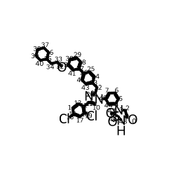 O=C1CN(c2cccc(-n3cc(-c4ccc(Cl)cc4Cl)nc3Cc3ccc(-c4cccc(OCCC5CCCCC5)c4)cc3)c2)S(=O)(=O)N1